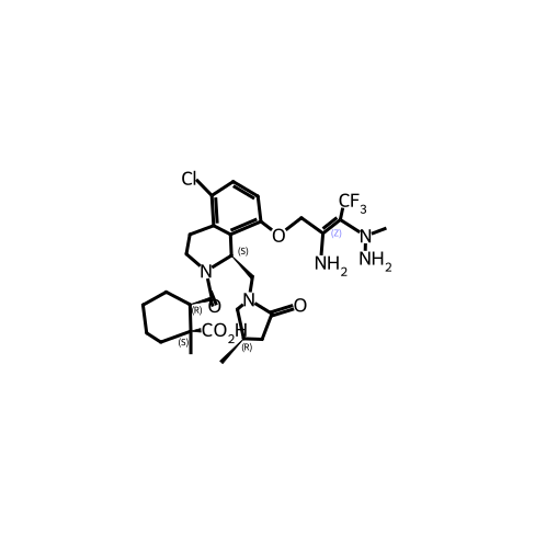 C[C@@H]1CC(=O)N(C[C@@H]2c3c(OC/C(N)=C(/N(C)N)C(F)(F)F)ccc(Cl)c3CCN2C(=O)[C@@H]2CCCC[C@]2(C)C(=O)O)C1